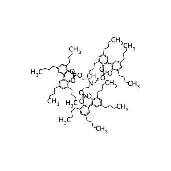 CCCCc1cc(CCCC)c2op(OCCN(CCOp3oc4c(CCCC)cc(CCCC)cc4c4cc(CCCC)cc(CCCC)c4o3)CCOp3oc4c(CCCC)cc(CCCC)cc4c4cc(CCCC)cc(CCCC)c4o3)oc3c(CCCC)cc(CCCC)cc3c2c1